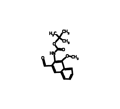 COc1c(NC(=O)OC(C)(C)C)c(C=O)cc2ccccc12